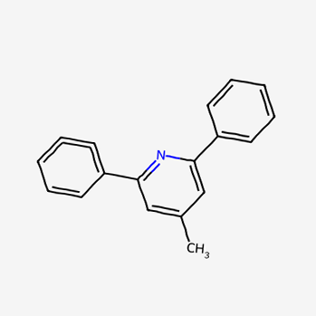 Cc1cc(C2=C=C=CC=C2)nc(-c2ccccc2)c1